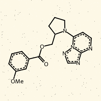 COc1cccc(C(=O)OCC2CCCN2c2ccnc3ncnn23)c1